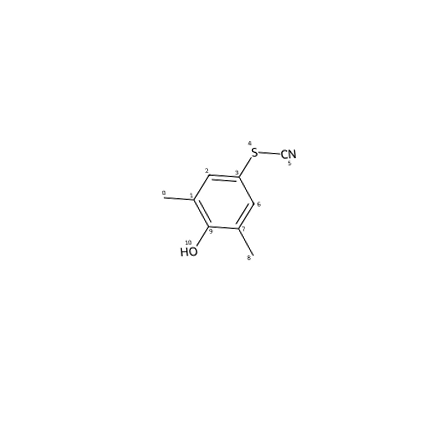 Cc1cc(SC#N)cc(C)c1O